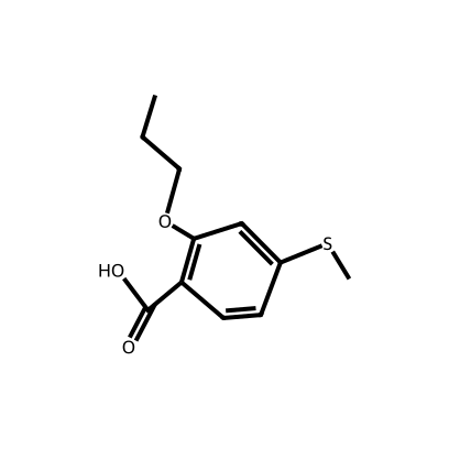 CCCOc1cc(SC)ccc1C(=O)O